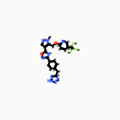 Cn1ncc(-c2nc(-c3ccc(Cc4nn[nH]n4)cc3)no2)c1COc1ccc(C(F)(F)F)cn1